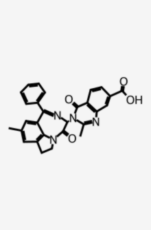 Cc1cc2c3c(c1)C(c1ccccc1)=N[C@H](n1c(C)nc4cc(C(=O)O)ccc4c1=O)C(=O)N3CC2